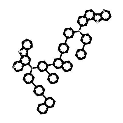 c1ccc(-c2cccc(N(c3cccc(-c4ccc(-c5cc(-c6ccc(N(c7cccc(-c8ccc(-c9cccc%10ccccc9%10)cc8)c7)c7cc8c9ccccc9oc8c8cnccc78)cc6-c6ccccc6)cc6ccccc56)cc4)c3)c3ccc4ccc5c6ncccc6oc5c4c3)c2)cc1